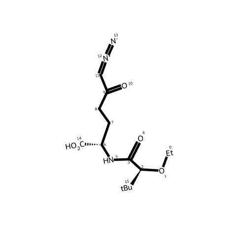 CCO[C@H](C(=O)N[C@@H](CCC(=O)C=[N+]=[N-])C(=O)O)C(C)(C)C